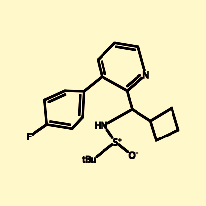 CC(C)(C)[S+]([O-])NC(c1ncccc1-c1ccc(F)cc1)C1CCC1